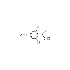 COc1cc(F)c(C(Br)C=O)c(Cl)c1